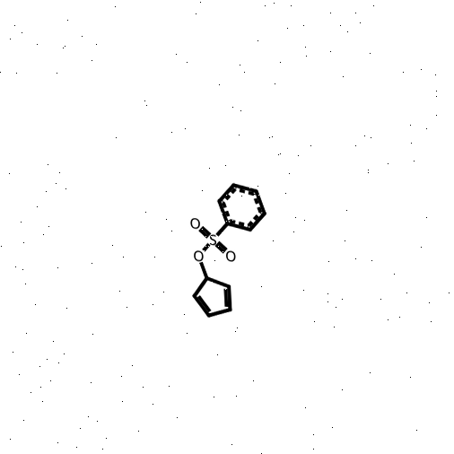 O=S(=O)(OC1C=CC=C1)c1ccccc1